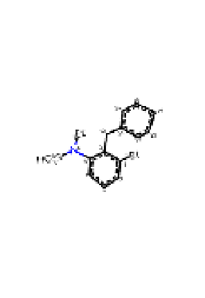 CCc1cccc(N(CC)S(=O)(=O)O)c1Cc1ccccc1